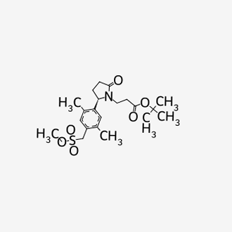 COS(=O)(=O)Cc1cc(C)c([C@H]2CCC(=O)N2CCC(=O)OC(C)(C)C)cc1C